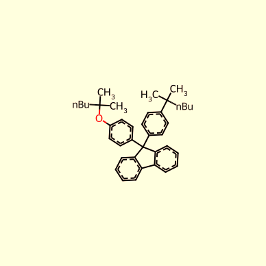 CCCCC(C)(C)Oc1ccc(C2(c3ccc(C(C)(C)CCCC)cc3)c3ccccc3-c3ccccc32)cc1